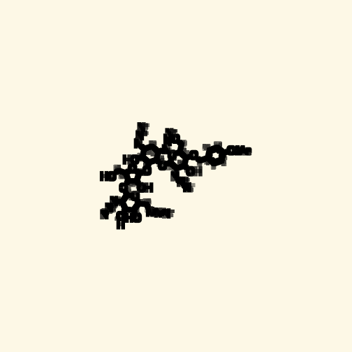 COc1ccc(COC2C(CO)OC(OC3C(N=[N+]=[N-])CC(N=[N+]=[N-])C(O)C3OC3OC(CO)C(OC4OC(CN=[N+]=[N-])C(O)C(O)C4N=[N+]=[N-])C3O)[C@@H](N=[N+]=[N-])C2O)cc1